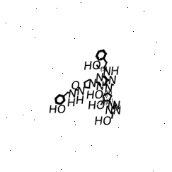 O=C(NCc1cccc(O)c1)NC1CCN(c2nc(N[C@H](CO)Cc3ccccc3)c3ncn([C@@H]4C[C@H](n5nnc(CO)n5)[C@@H](O)[C@H]4O)c3n2)C1